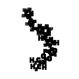 CC(C)NC(=O)O[C@H]1CO[C@@H](c2cc(Nc3nccc4nc(CN5CC(n6cccn6)C5)cn34)n[nH]2)[C@@H]1F